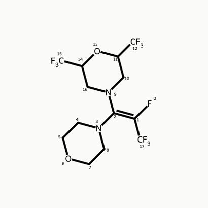 F/C(=C(/N1CCOCC1)N1CC(C(F)(F)F)OC(C(F)(F)F)C1)C(F)(F)F